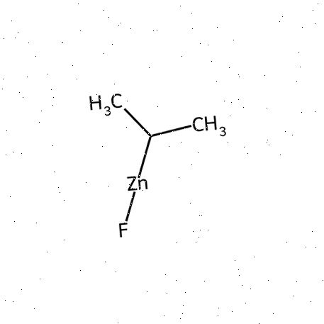 C[CH](C)[Zn][F]